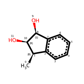 C[C@@H]1c2ccccc2[C@H](O)[C@@H]1O